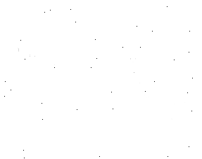 CCC(C)(C)C(=O)c1ccc(C(=O)Oc2ccc(C(C)c3ccc(OC(C)C)c(C)c3)cc2C)cc1